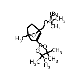 CC12CCC(CO[Si](C)(C)C(C)(C)C)(C=C(B3OC(C)(C)C(C)(C)O3)C1)O2